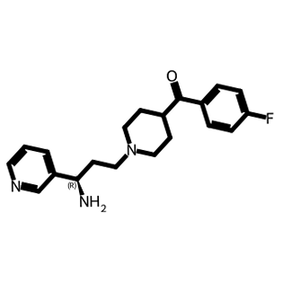 N[C@H](CCN1CCC(C(=O)c2ccc(F)cc2)CC1)c1cccnc1